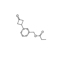 CCC(=O)OCc1cccc(C2CC(=O)C2)c1